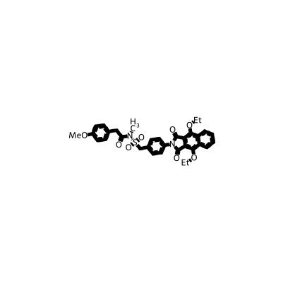 CCOc1c2c(c(OCC)c3ccccc13)C(=O)N(c1ccc(CS(=O)(=O)N(C)C(=O)Cc3ccc(OC)cc3)cc1)C2=O